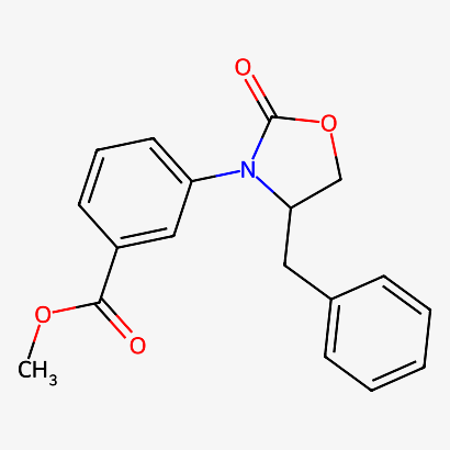 COC(=O)c1cccc(N2C(=O)OCC2Cc2ccccc2)c1